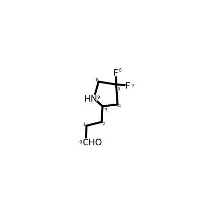 O=CCCC1CC(F)(F)CN1